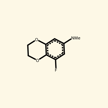 CNc1cc(F)c2c(c1)OCCO2